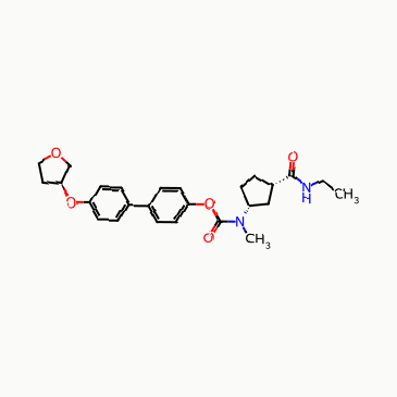 CCNC(=O)[C@H]1CC[C@@H](N(C)C(=O)Oc2ccc(-c3ccc(O[C@H]4CCOC4)cc3)cc2)C1